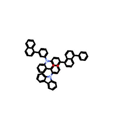 c1ccc(-c2cccc3c(-c4ccc(N(c5cccc(-c6cccc7ccccc67)c5)c5ccccc5-c5ccccc5-n5c6ccccc6c6ccccc65)cc4)cccc23)cc1